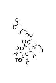 O=CC(=O)CC(=O)[O-].O=CC(=O)CC(=O)[O-].O=CC(=O)CC(=O)[O-].O=CC(=O)CC(=O)[O-].[Ti+4]